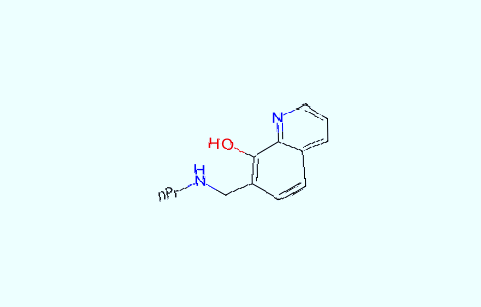 CCCNCc1ccc2cccnc2c1O